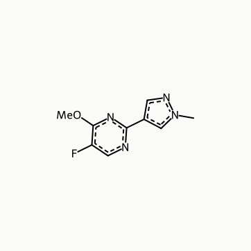 COc1nc(-c2cnn(C)c2)ncc1F